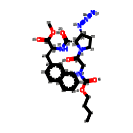 CCCCOC(=O)NCC(=O)N1CC[C@@H](N=[N+]=[N-])[C@H]1C(=O)N[C@@H](Cc1ccc2ccccc2c1)C(=O)OC